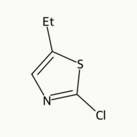 [CH2-][CH+]c1cnc(Cl)s1